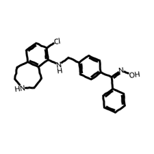 ON=C(c1ccccc1)c1ccc(CNc2c(Cl)ccc3c2CCNCC3)cc1